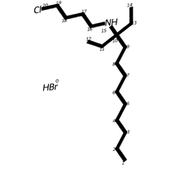 Br.CCCCCCCCCC(CC)(CC)NCCCCCl